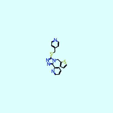 c1ccc(-c2nnc(SCc3ccncc3)n2Cc2cccs2)nc1